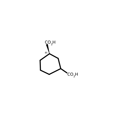 O=C(O)C1CCC[C@@H](C(=O)O)C1